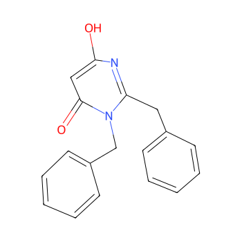 O=c1cc(O)nc(Cc2ccccc2)n1Cc1ccccc1